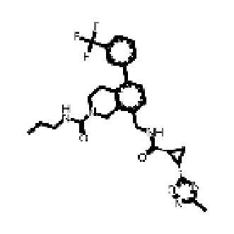 CCCNC(=O)N1CCc2c(-c3cccc(C(F)(F)F)c3)ccc(CNC(=O)[C@H]3C[C@@H]3c3nc(C)no3)c2C1